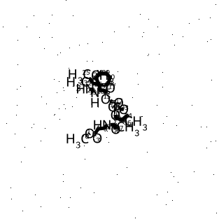 COC(=O)CCNC(=O)[C@@H]1OP(=O)(OCOC(=O)C2NNC(C(C)(C)C)C23CCCCCC3)OCC1(C)C